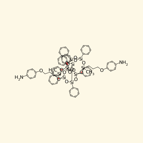 C[Si]1(CCCOc2ccc(N)cc2)O[Si]2(c3ccccc3)O[Si]3(c4ccccc4)O[Si]4(c5ccccc5)O[Si](C)(CCCOc5ccc(N)cc5)O[Si]5(c6ccccc6)O[Si](c6ccccc6)(O[Si](c6ccccc6)(O1)O[Si](c1ccccc1)(O5)O[Si](c1ccccc1)(O2)O4)O3